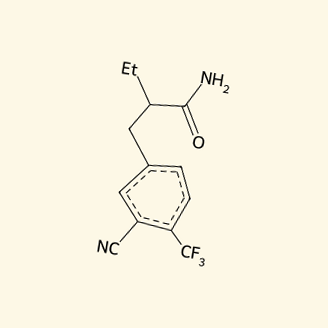 CCC(Cc1ccc(C(F)(F)F)c(C#N)c1)C(N)=O